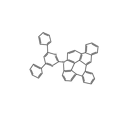 c1ccc(-c2cc(-c3ccccc3)nc(-n3c4cccc5c4c4c6c(cc7ccccc7c6ccc43)-c3ccccc3-5)n2)cc1